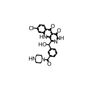 O=C(c1cccc(C(O)c2n[nH]c(=O)c3c(=O)c4ccc(Cl)cc4[nH]c23)c1)N1CCNCC1